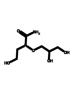 NC(=O)N(CCO)OCC(O)CO